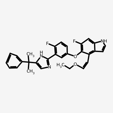 CCO/C=C\c1c(Oc2ccc(F)c(-c3ncc(C(C)(C)c4ccccc4)[nH]3)c2)c(F)cc2[nH]ccc12